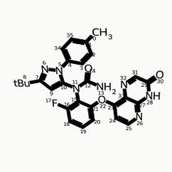 Cc1ccc(-n2nc(C(C)(C)C)cc2N(C(N)=O)c2c(F)cccc2Oc2ccnc3[nH]c(=O)cnc23)cc1